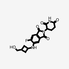 O=C1CCC(N2C(=O)c3cc(F)c(NC4CC(CO)C4)cc3C2=O)C(=O)N1